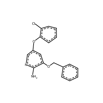 Nc1ncc(Oc2ccccc2Cl)cc1OCc1ccccc1